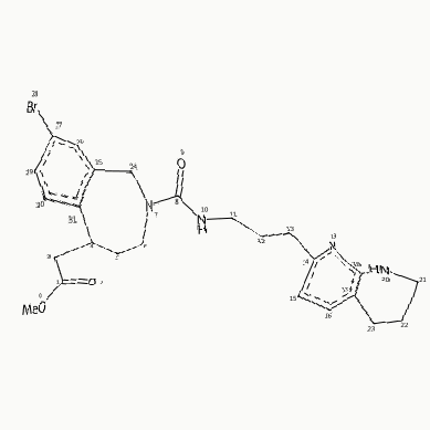 COC(=O)CC1CCN(C(=O)NCCCc2ccc3c(n2)NCCC3)Cc2cc(Br)ccc21